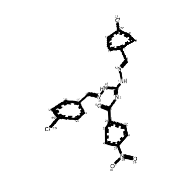 O=C(N=C(NN=Cc1ccc(Cl)cc1)NN=Cc1ccc(Cl)cc1)c1ccc([N+](=O)[O-])cc1